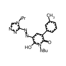 CCCCn1c(O)c(N=Nc2nncn2C(C)C)cc(-c2cccc(C)c2)c1=O